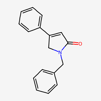 O=C1C=C(c2ccccc2)CN1Cc1ccccc1